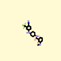 N#Cc1ccc(NC2CCC(NC(=O)c3cccc4ncsc34)CC2)cc1C(F)(F)F